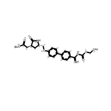 CC(=O)OCOC(=O)NC(=N)c1ccc(-c2ccc(OC[C@@H]3C[C@@H](CC(=O)OCC(C)C)C(=O)N3)cc2)cc1